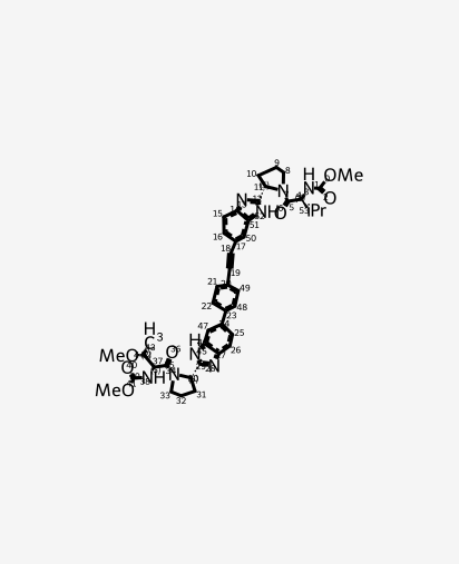 COC(=O)N[C@H](C(=O)N1CCC[C@H]1c1nc2ccc(C#Cc3ccc(-c4ccc5nc([C@@H]6CCCN6C(=O)[C@@H](NC(=O)OC)[C@@H](C)OC)[nH]c5c4)cc3)cc2[nH]1)C(C)C